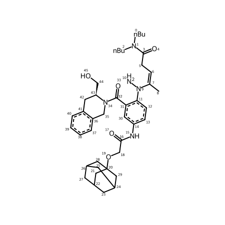 CCCCN(CCCC)C(=O)C/C=C(/C)N(N)c1ccc(NC(=O)COC23CC4CC(CC(C4)C2)C3)cc1C(=O)N1Cc2ccccc2C[C@H]1CO